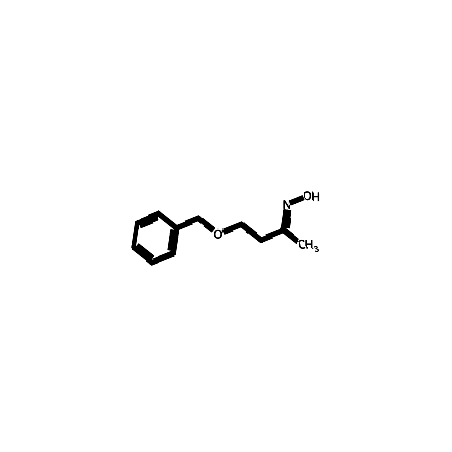 CC(CCOCc1ccccc1)=NO